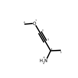 COC#CC(C)N